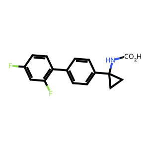 O=C(O)NC1(c2ccc(-c3ccc(F)cc3F)cc2)CC1